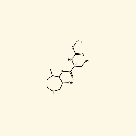 CC(C)C[C@H](NC(=O)OC(C)(C)C)C(=O)NC1C(C)CCNCC1O